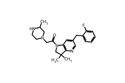 CC1CN(CC(=O)N2CC(C)(C)c3ncc(Cc4ccccc4F)cc32)CCN1